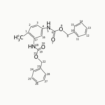 Cc1ccc(NC(=O)OCc2ccccc2)cc1NC(=O)OCc1ccccc1